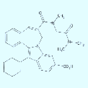 CN(C)C(=O)CN(C)C(=O)C1=Cc2ccccc2-c2c(C3CCCCC3)c3ccc(C(=O)O)cc3n2C1